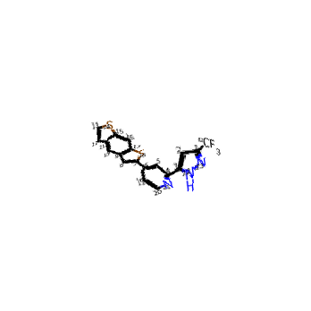 FC(F)(F)c1cc(-c2cc(-c3cc4cc5ccsc5cc4s3)ccn2)[nH]n1